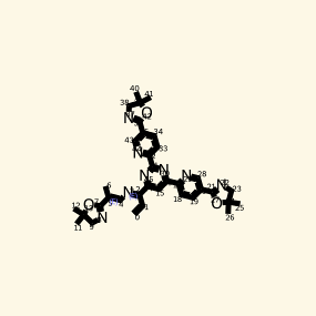 C=C/C(=N\C=C(/C)C1=NCC(C)(C)O1)c1cc(-c2ccc(C3=NCC(C)(C)O3)cn2)nc(-c2ccc(C3=NCC(C)(C)O3)cn2)n1